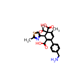 CC(=O)C1(C(=O)O)C(C)=CC(c2ccc(CN)cc2)=C(C(=O)O)C1c1csc(C)n1